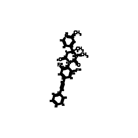 Cc1cc([C@]2(C)CC(=O)N(c3c(F)cc(C#Cc4ccccc4)cc3F)C(=O)N2C)ccn1